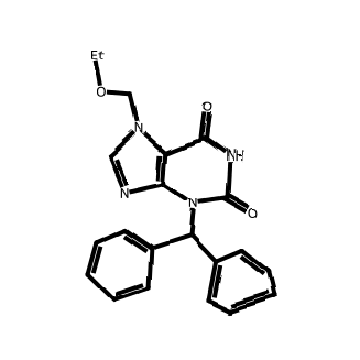 CCOCn1cnc2c1c(=O)[nH]c(=O)n2C(c1ccccc1)c1ccccc1